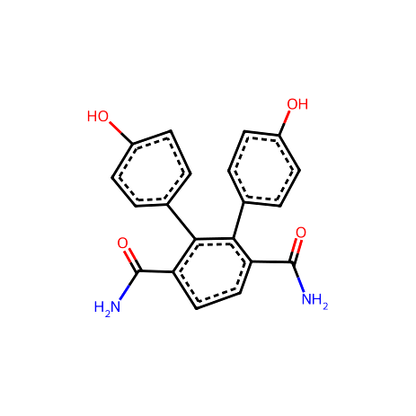 NC(=O)c1ccc(C(N)=O)c(-c2ccc(O)cc2)c1-c1ccc(O)cc1